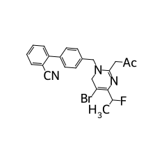 CC(=O)CC1=NC(C(C)F)=C(Br)CN1Cc1ccc(-c2ccccc2C#N)cc1